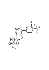 CCS(=O)(=O)N[C@H]1CCc2c(-c3ccc(C(F)(F)F)c(F)c3)cncc21